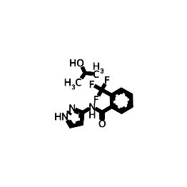 CC(C)O.O=C(Nc1cc[nH]n1)c1ccccc1C(F)(F)F